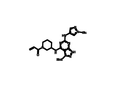 C=CC(=O)N1CCCC(Nc2nc(Nc3cnn(C(C)(C)C)c3)nc3[nH]nc(SC)c23)C1